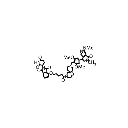 CNc1cc2c(=O)n(C)cc(-c3cc(OC)c(CN4CCC5(CC4)CN(C(=O)CCCCOc4cccc6c4C(=O)N(C4CCC(=O)NC4=O)C6=O)CCO5)c(OC)c3)c2cn1